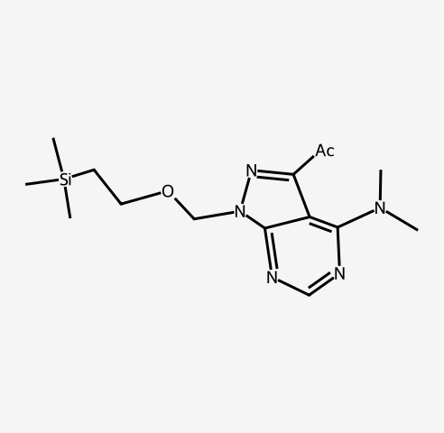 CC(=O)c1nn(COCC[Si](C)(C)C)c2ncnc(N(C)C)c12